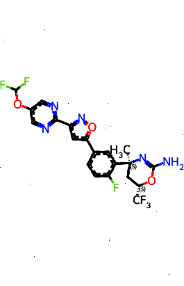 C[C@@]1(c2cc(-c3cc(-c4ncc(OC(F)F)cn4)no3)ccc2F)C[C@@H](C(F)(F)F)OC(N)=N1